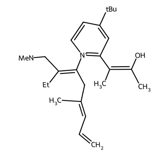 C=C/C=C(\C)CC(=C(CC)CNC)[n+]1ccc(C(C)(C)C)cc1/C(C)=C(/C)O